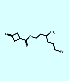 CC(C)CCCC(C)CCOC(=O)C1CC(=O)C1